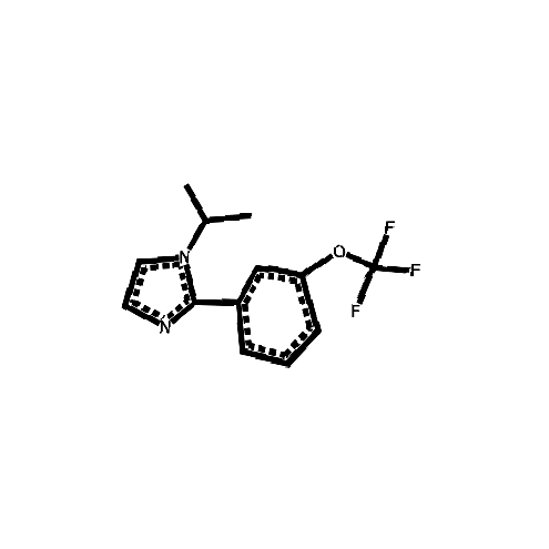 CC(C)n1ccnc1-c1cccc(OC(F)(F)F)c1